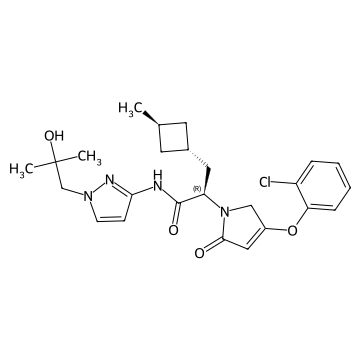 CC(C)(O)Cn1ccc(NC(=O)[C@@H](C[C@H]2C[C@H](C)C2)N2CC(Oc3ccccc3Cl)=CC2=O)n1